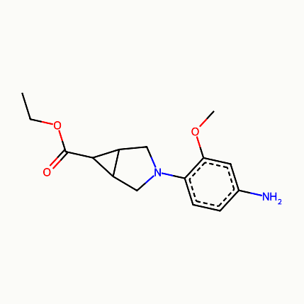 CCOC(=O)C1C2CN(c3ccc(N)cc3OC)CC21